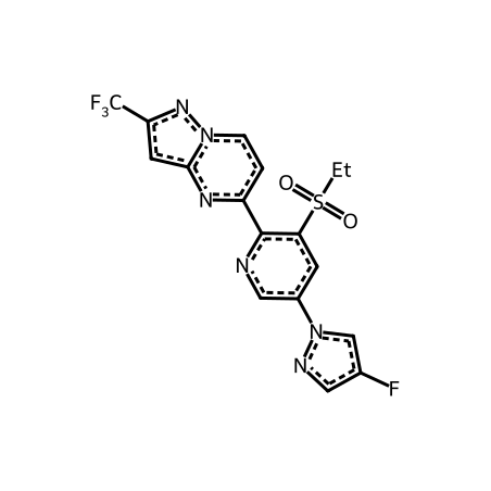 CCS(=O)(=O)c1cc(-n2cc(F)cn2)cnc1-c1ccn2nc(C(F)(F)F)cc2n1